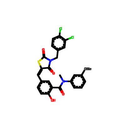 COc1cccc(N(C)C(=O)c2cc(C=C3SC(=O)N(Cc4ccc(Cl)c(Cl)c4)C3=O)ccc2O)c1